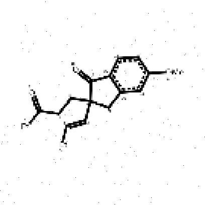 CCC=CC1(CCC(=O)CC)Cc2cc(OC)ccc2C1=O